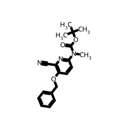 CN(C(=O)OC(C)(C)C)c1ccc(OCc2ccccc2)c(C#N)n1